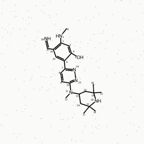 CNc1cc(O)c(-c2ccc(N(C)C3CC(C)(C)NC(C)(C)C3)nn2)cc1C=N